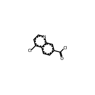 O=C(Cl)c1ccc2c(Cl)ccnc2c1